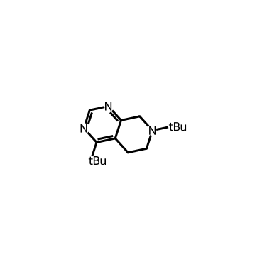 CC(C)(C)c1ncnc2c1CCN(C(C)(C)C)C2